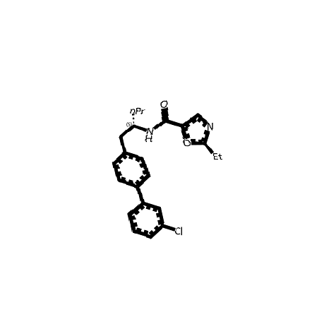 CCC[C@@H](Cc1ccc(-c2cccc(Cl)c2)cc1)NC(=O)c1cnc(CC)o1